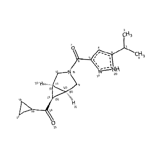 CC(C)c1cc(C(=O)N2C[C@@H]3[C@H](C2)[C@@H]3C(=O)C2CC2)n[nH]1